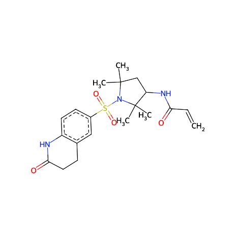 C=CC(=O)NC1CC(C)(C)N(S(=O)(=O)c2ccc3c(c2)CCC(=O)N3)C1(C)C